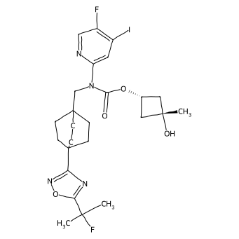 CC(C)(F)c1nc(C23CCC(CN(C(=O)O[C@H]4C[C@@](C)(O)C4)c4cc(I)c(F)cn4)(CC2)CC3)no1